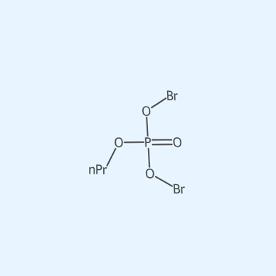 CCCOP(=O)(OBr)OBr